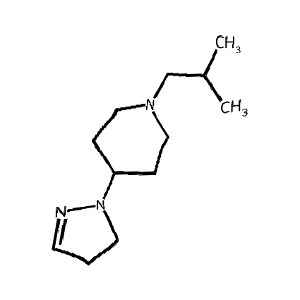 CC(C)CN1CCC(N2CCC=N2)CC1